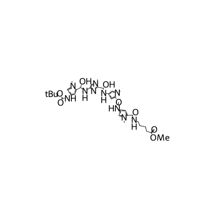 COC(=O)CCCCNC(=O)c1cc(NOc2cc(NC(O)c3nc(NC(O)c4cc(NC(=O)OC(C)(C)C)cn4C)cn3C)cn2C)cn1C